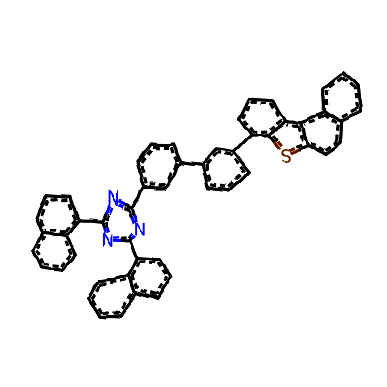 c1cc(-c2cccc(-c3cccc4c3sc3ccc5ccccc5c34)c2)cc(-c2nc(-c3cccc4ccccc34)nc(-c3cccc4ccccc34)n2)c1